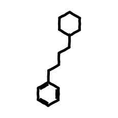 c1ccc(CCCC[C]2CCCCC2)cc1